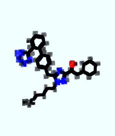 CCCCCn1nc(C(=O)CC2CCCCC2)nc1Cc1ccc(-c2ccccc2-c2nnn[nH]2)cc1